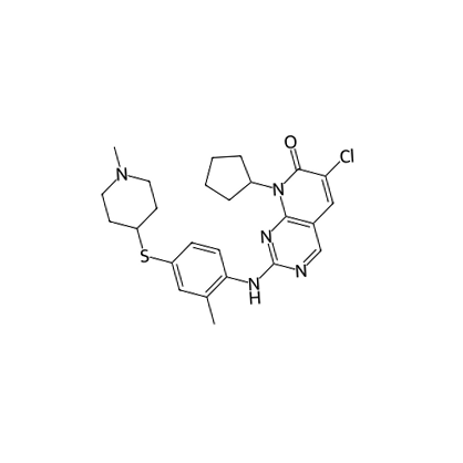 Cc1cc(SC2CCN(C)CC2)ccc1Nc1ncc2cc(Cl)c(=O)n(C3CCCC3)c2n1